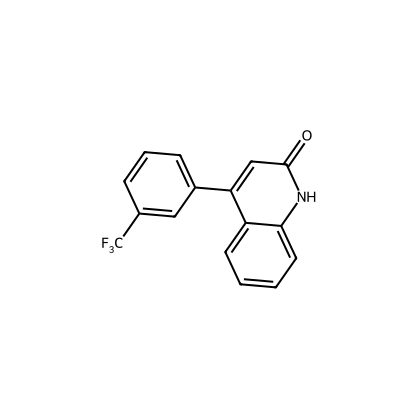 O=c1cc(-c2cccc(C(F)(F)F)c2)c2ccccc2[nH]1